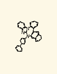 c1ccc(-c2ccc(N3c4cc5ccccc5cc4-c4ccccc4-n4c3nc3ccccc34)cc2)cc1